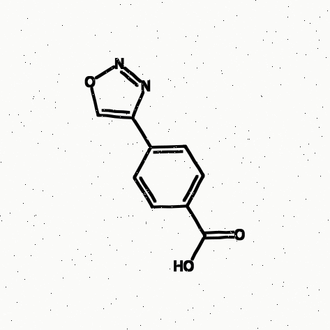 O=C(O)c1ccc(-c2conn2)cc1